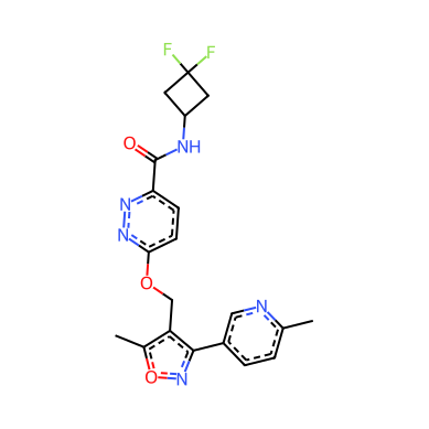 Cc1ccc(-c2noc(C)c2COc2ccc(C(=O)NC3CC(F)(F)C3)nn2)cn1